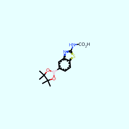 CC1(C)OB(c2ccc3sc(NC(=O)O)nc3c2)OC1(C)C